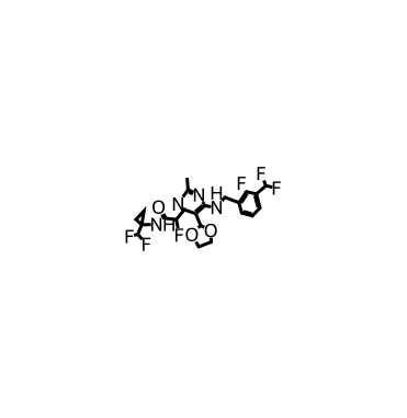 Cc1nc(NCc2cccc(C(F)F)c2F)c(C2OCCO2)c(C(F)C(=O)NC2(C(F)F)CC2)n1